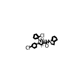 C[C@H]1C(C(=O)NN2CCc3ccccc32)=NN(c2ccccc2Cl)[C@@H]1c1ccc(Cl)cc1